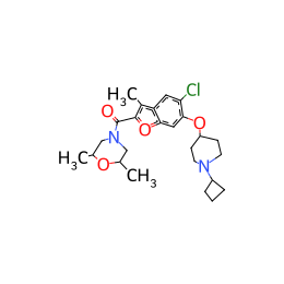 Cc1c(C(=O)N2CC(C)OC(C)C2)oc2cc(OC3CCN(C4CCC4)CC3)c(Cl)cc12